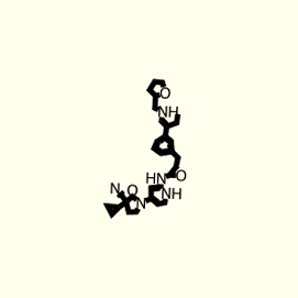 CC/C(=C\NCC1CCCO1)c1cccc(CC2OC2NC2=CC(N3CCC(C#N)(C4CC4)C3=O)=CCN2)c1